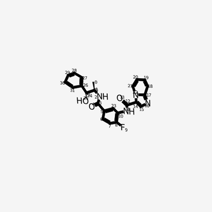 C[C@@H](NC(=O)c1ccc(F)c(NC(=O)c2cnc3ccccn23)c1)[C@H](O)c1ccccc1